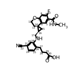 CNC(=O)c1cc2c(cc1F)OCC[C@]21C[C@H]1CNc1cc(C#N)ccc1CCCC(=O)O